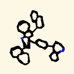 c1ccc2c(-c3cc(-c4ccc(-c5ccnc6ccccc56)cc4)c4cc(-c5cccc6ccccc56)c5ccccc5c4n3)cccc2c1